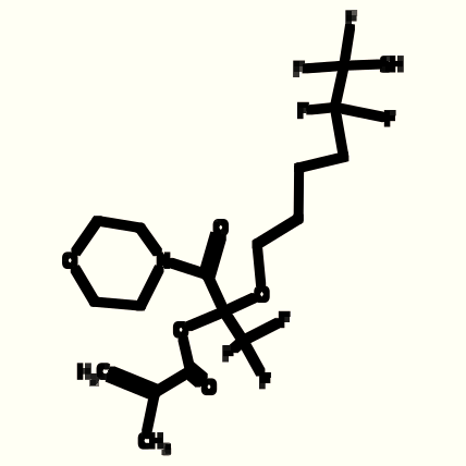 C=C(C)C(=O)OC(OCCCCC(F)(F)C(F)(F)S)(C(=O)N1CCOCC1)C(F)(F)F